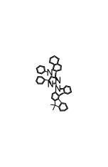 CC1(C)c2ccccc2-c2c1ccc1c2c2ccccc2n1-c1nc(-c2ccccc2)c2c(n1)c1ccc3ccccc3c1n2-c1ccccc1